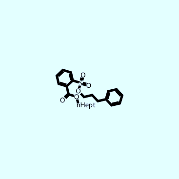 CCCCCCCOC(=O)c1ccccc1S(=O)(=O)OCCCc1ccccc1